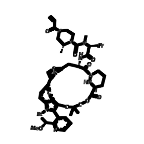 C=CC(=O)N1CCN(C(=O)N(C)[C@H](C(=O)N[C@H]2Cc3nc(cs3)-c3ccc4c(c3)c(c(-c3cccnc3[C@H](C)OC)n4CC)CC(C)(C)COC(=O)[C@@H]3CCCN(N3)C2=O)C(C)C)[C@H](C)C1